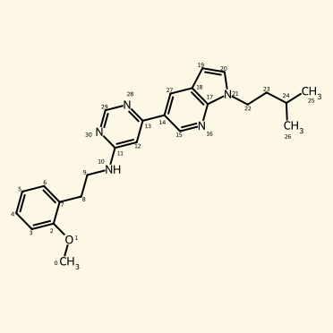 COc1ccccc1CCNc1cc(-c2cnc3c(ccn3CCC(C)C)c2)ncn1